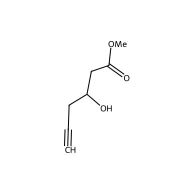 C#CCC(O)CC(=O)OC